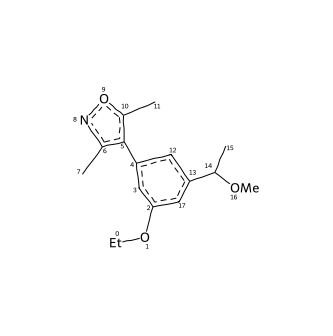 CCOc1cc(-c2c(C)noc2C)cc(C(C)OC)c1